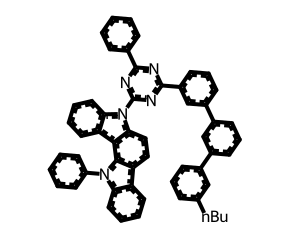 CCCCc1cccc(-c2cccc(-c3cccc(-c4nc(-c5ccccc5)nc(-n5c6ccccc6c6c5ccc5c7ccccc7n(-c7ccccc7)c56)n4)c3)c2)c1